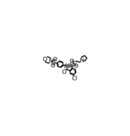 O=C(Nc1ccc(S(=O)(=O)N2CCOCC2)cc1)c1cc(Cl)ccc1NS(=O)(=O)CCN1CCCC1